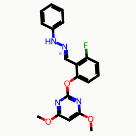 COc1cc(OC)nc(Oc2cccc(F)c2/C=N/Nc2ccccc2)n1